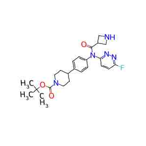 CC(C)(C)OC(=O)N1CCC(c2ccc(N(C(=O)C3CNC3)c3ccc(F)nn3)cc2)CC1